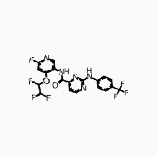 O=C(Nc1cnc(F)cc1OC(F)C(F)F)c1ccnc(Nc2ccc(C(F)(F)F)cc2)n1